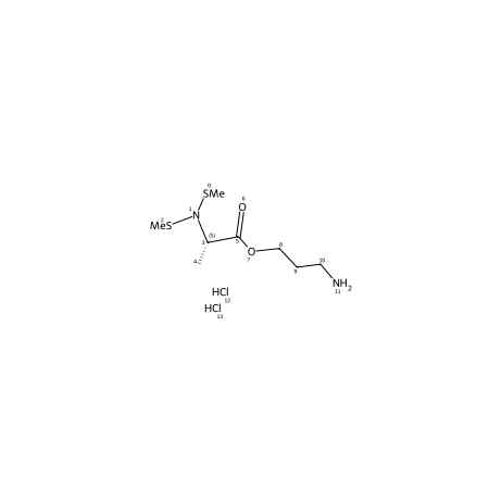 CSN(SC)[C@@H](C)C(=O)OCCCN.Cl.Cl